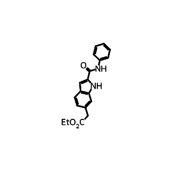 CCOC(=O)Cc1ccc2cc(C(=O)Nc3ccccc3)[nH]c2c1